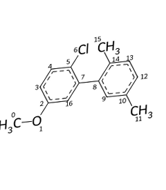 COc1ccc(Cl)c(-c2cc(C)ccc2C)c1